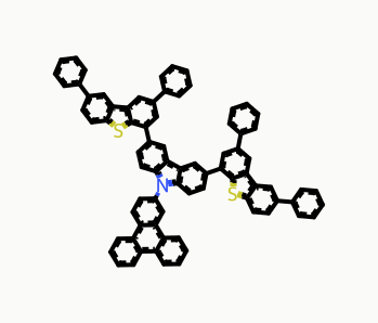 c1ccc(-c2ccc3sc4c(-c5ccc6c(c5)c5cc(-c7cc(-c8ccccc8)cc8c7sc7ccc(-c9ccccc9)cc78)ccc5n6-c5ccc6c7ccccc7c7ccccc7c6c5)cc(-c5ccccc5)cc4c3c2)cc1